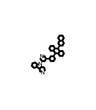 c1cc(-c2cncc(-n3c4ccccc4c4cnccc43)c2)cc(-c2c3ccccc3c(-c3ccc4ccccc4c3)c3ccccc23)c1